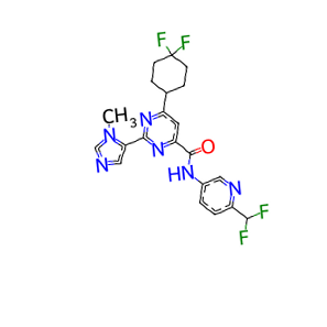 Cn1cncc1-c1nc(C(=O)Nc2ccc(C(F)F)nc2)cc(C2CCC(F)(F)CC2)n1